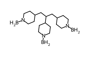 BN1CCC(CC(CC2CCN(B)CC2)C2CCN(B)CC2)CC1